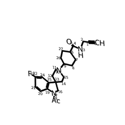 C#CCNC(=O)C1CCC(N2CCC3(CC2)CN(C(C)=O)c2ccc(F)cc23)CC1